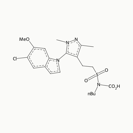 CCCCN(C(=O)O)S(=O)(=O)CCc1c(C)nn(C)c1-n1ccc2cc(Cl)c(OC)cc21